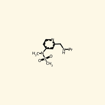 CC(C)NCc1cc(N(C)S(C)(=O)=O)ccn1